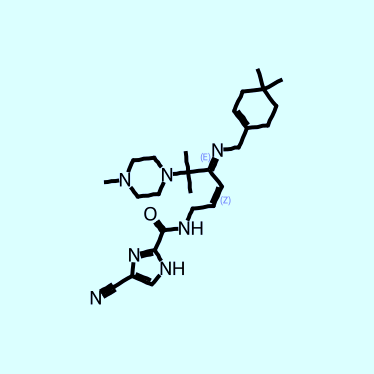 CN1CCN(C(C)(C)C(/C=C\CNC(=O)c2nc(C#N)c[nH]2)=N/CC2=CCC(C)(C)CC2)CC1